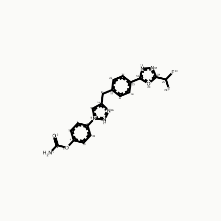 NC(=O)Oc1ccc(-n2cc(Cc3ccc(-c4nnc(C(F)F)o4)cc3)nn2)cc1